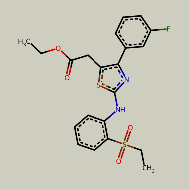 CCOC(=O)Cc1sc(Nc2ccccc2S(=O)(=O)CC)nc1-c1cccc(F)c1